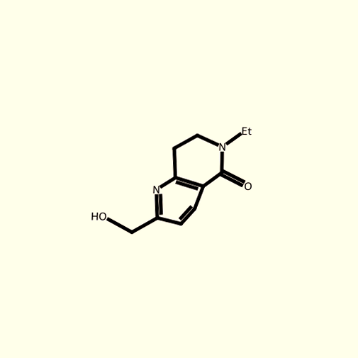 CCN1CCc2nc(CO)ccc2C1=O